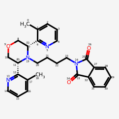 Cc1cccnc1[C@H]1COC[C@@H](c2ncccc2C)N1CCCCN1C(=O)c2ccccc2C1=O